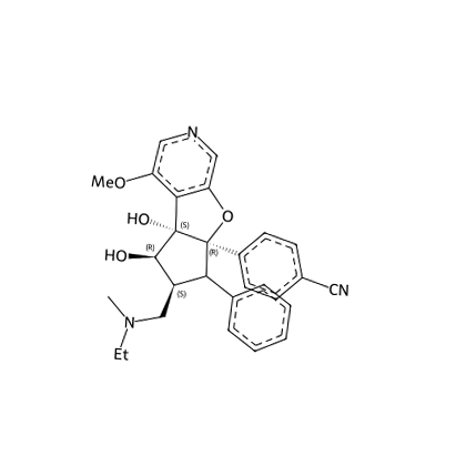 CCN(C)C[C@@H]1C(c2ccccc2)[C@]2(c3ccc(C#N)cc3)Oc3cncc(OC)c3[C@]2(O)[C@@H]1O